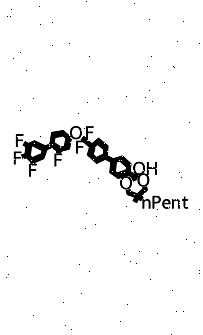 CCCCCC1(C)COC(O)(c2ccc(-c3ccc(C(F)(F)Oc4ccc(-c5cc(F)c(F)c(F)c5)c(F)c4)cc3)cc2)OC1